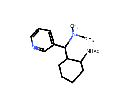 CC(=O)NC1CCCCC1C(c1cccnc1)N(C)C